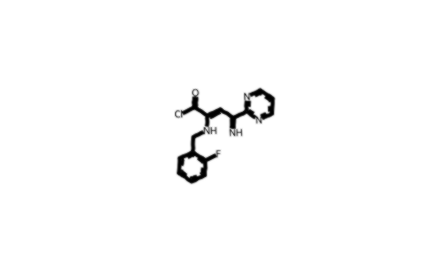 N=C(/C=C(\NCc1ccccc1F)C(=O)Cl)c1ncccn1